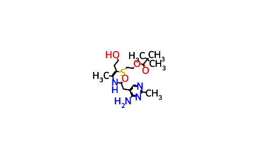 CC(NC(=O)Cc1cnc(C)nc1N)=C(CCO)SCCOC(=O)C(C)(C)C